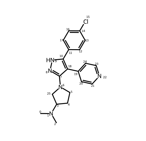 CN(C)C1CCN(c2n[nH]c(-c3ccc(Cl)cc3)c2-c2ccncc2)C1